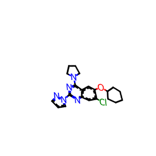 Clc1cc2nc(-n3cccn3)nc(N3CCCC3)c2cc1OC1CCCCC1